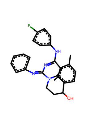 Cc1cccc(C)c1/C(=N\C(=N/c1ccccc1)N1CCC(O)CC1C)Nc1ccc(F)cc1